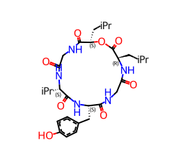 CC(C)C[C@@H]1OC(=O)[C@@H](CC(C)C)NC(=O)CNC(=O)[C@H](Cc2ccc(O)cc2)NC(=O)[C@H](C(C)C)NC(=O)CNC1=O